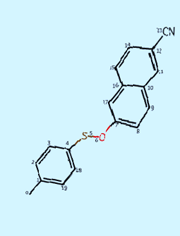 Cc1ccc(SOc2ccc3cc(C#N)ccc3c2)cc1